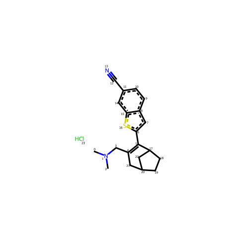 CN(C)CC1=C(c2cc3ccc(C#N)cc3s2)C2CCC(C1)C2.Cl